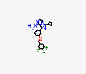 Nc1nccn2c(C3CCC3)nc(-c3cccc(OCc4cc(F)c(F)c(F)c4)c3)c12